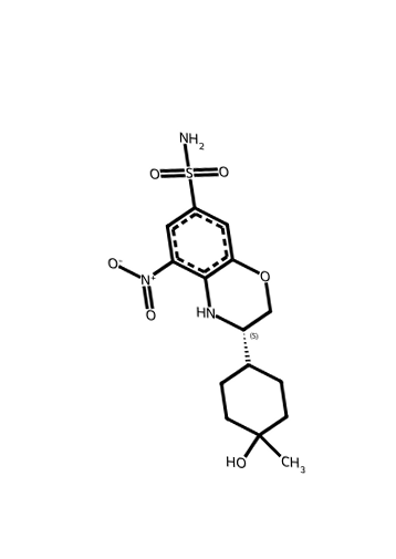 CC1(O)CCC([C@H]2COc3cc(S(N)(=O)=O)cc([N+](=O)[O-])c3N2)CC1